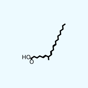 CCCCCCCC/C=C/C/C=C/C(C)/C=C/CCCC(=O)O